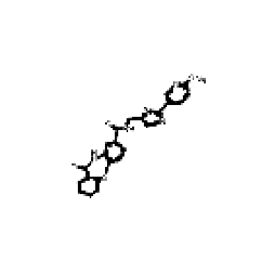 COc1ccc(-c2ncc(CNC(=O)c3ccc4c(c3)NC(=O)C3=CCCC=C3S4)s2)cn1